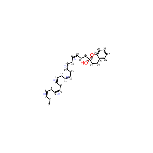 CC/C=C\C/C=C\C/C=C\C/C=C\C/C=C\C/C=C\CCC1(O)CCc2ccccc2O1